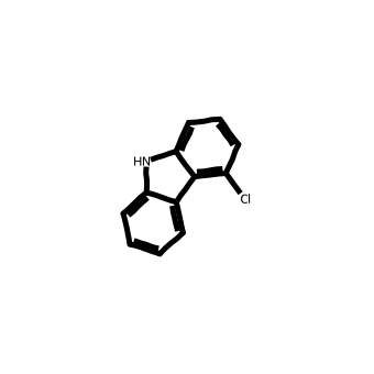 Clc1cccc2[nH]c3ccccc3c12